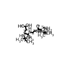 CCC(C)(C)N[C@@H](CCC(O)O)C(=O)NCCNC(=O)[C@H](CN)NC(C)(C)C